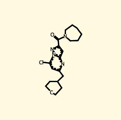 O=C(c1cc2nc(CC3CCCCC3)cc(Cl)n2n1)N1CCCCCC1